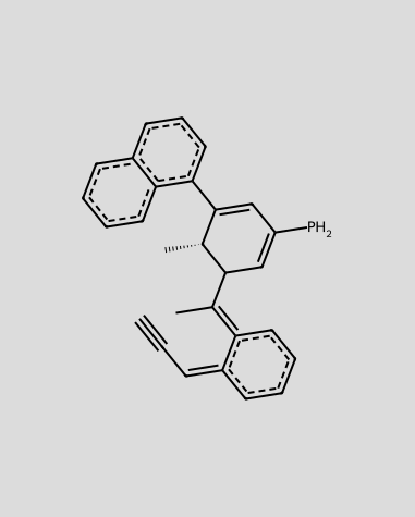 C#C/C=c1/cccc/c1=C(/C)C1C=C(P)C=C(c2cccc3ccccc23)[C@H]1C